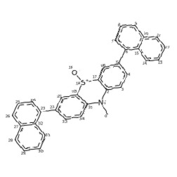 CN1c2ccc(-c3cccc4ccccc34)cc2[S+]([O-])c2cc(-c3cccc4ccccc34)ccc21